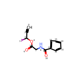 C#CC(I)OC(=O)CNC(=O)c1ccccc1